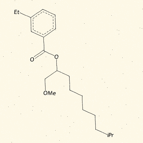 CCc1cccc(C(=O)OC(CCCCCCC(C)C)COC)c1